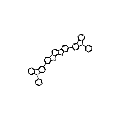 c1ccc(-n2c3ccccc3c3cc(-c4ccc5c(c4)oc4c5ccc5c6ccc(-c7ccc8c(c7)c7ccccc7n8-c7ccccc7)cc6oc54)ccc32)cc1